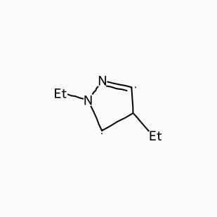 CCC1[C]=NN(CC)[CH]1